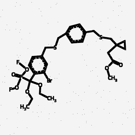 CCOC(OCC)(c1ccc(CSCc2ccc(CSCC3(CC(=O)OC)CC3)cc2)cc1Br)P(=O)(OF)OF